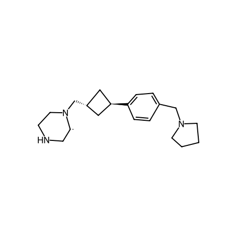 [CH]1CNCCN1C[C@H]1C[C@H](c2ccc(CN3CCCC3)cc2)C1